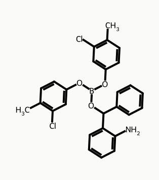 Cc1ccc(OB(Oc2ccc(C)c(Cl)c2)OC(c2ccccc2)c2ccccc2N)cc1Cl